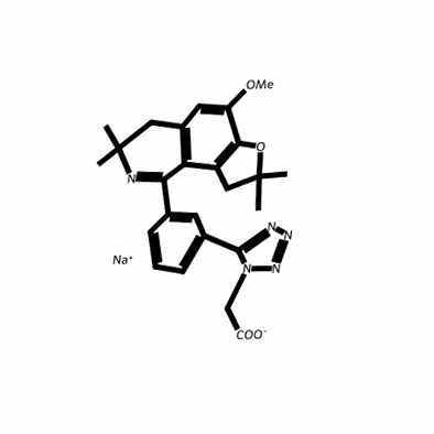 COc1cc2c(c3c1OC(C)(C)C3)C(c1cccc(-c3nnnn3CC(=O)[O-])c1)=NC(C)(C)C2.[Na+]